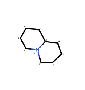 [C]1CCN2CCCCC2C1